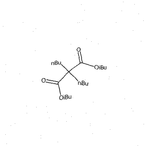 CCCCC(CCCC)(C(=O)OCC(C)C)C(=O)OCC(C)C